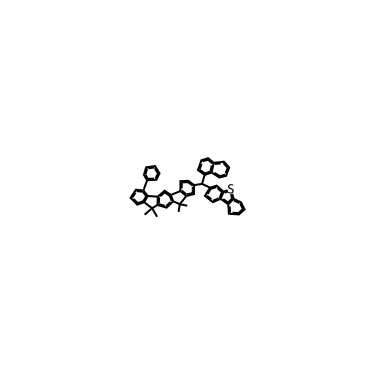 CC1(C)c2cc(C(c3ccc4c(c3)sc3ccccc34)c3cccc4ccccc34)ccc2-c2cc3c(cc21)C(C)(C)c1cccc(-c2ccccc2)c1-3